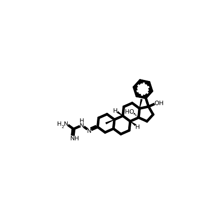 C[C@]12CCC(=NNC(=N)N)CC1CC[C@@H]1[C@H]2CC[C@]2(C)C(O)(c3ccccc3)CC[C@@]12O